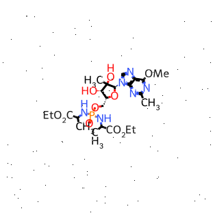 CCOC(=O)C(C)NP(=O)(NC(C)C(=O)OCC)OC[C@H]1O[C@@H](n2cnc3c(OC)nc(C)nc32)C(C)(O)[C@H]1O